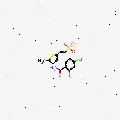 Cc1ccc(/C=C/S(=O)(=O)O)s1.NC(=O)c1ccc(Cl)cc1Cl